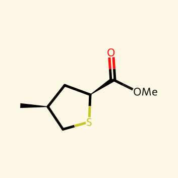 COC(=O)[C@@H]1C[C@H](C)CS1